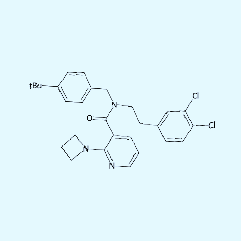 CC(C)(C)c1ccc(CN(CCc2ccc(Cl)c(Cl)c2)C(=O)c2cccnc2N2CCC2)cc1